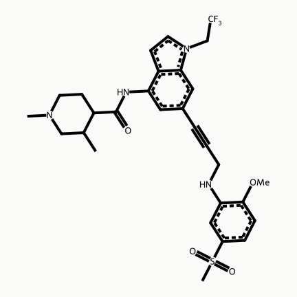 COc1ccc(S(C)(=O)=O)cc1NCC#Cc1cc(NC(=O)C2CCN(C)CC2C)c2ccn(CC(F)(F)F)c2c1